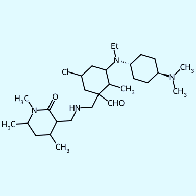 CCN(C1CC(Cl)CC(C=O)(CNCC2C(=O)N(C)C(C)CC2C)C1C)[C@H]1CC[C@H](N(C)C)CC1